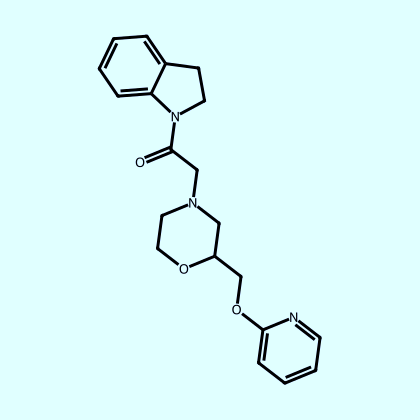 O=C(CN1CCOC(COc2ccccn2)C1)N1CCc2ccccc21